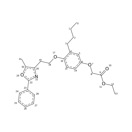 CCCCc1cc(OCC(=O)OCC)ccc1OCCc1nc(-c2ccccc2)oc1C